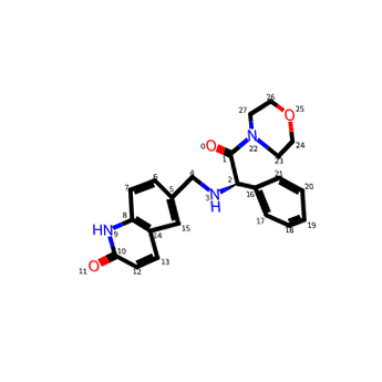 O=C([C@H](NCc1ccc2[nH]c(=O)ccc2c1)c1ccccc1)N1CCOCC1